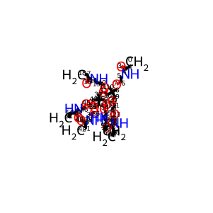 C=CC(=O)NCCOCC(COCCNC(=O)C=C)(COCCOCNC(=O)C=C)COCC(COOCNC(=O)C=C)(COOCNC(=O)C=C)COOCNC(=O)C=C